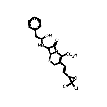 O=C(O)C1=C(/C=C/C2OC2(Cl)Cl)CSC2C(NC(O)Cc3ccccc3)C(=O)N12